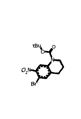 CC(C)(C)OC(=O)N1CCCc2cc(Br)c([N+](=O)[O-])cc21